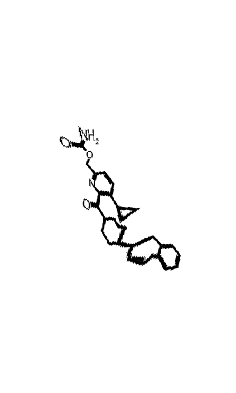 NC(=O)OCc1ccc(C2CC2)c(C(=O)C2CCC(c3ccc4ccccc4c3)CC2)n1